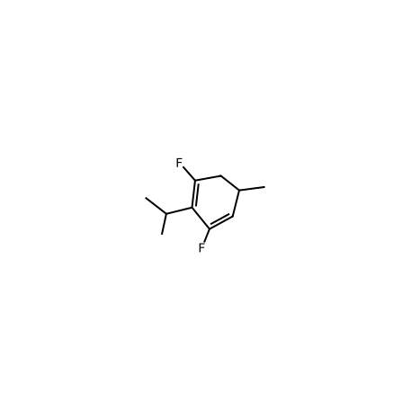 CC1C=C(F)C(C(C)C)=C(F)C1